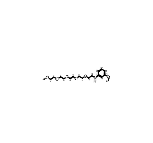 COCCOCCOCCOCCOCCNc1cccc(OC)c1